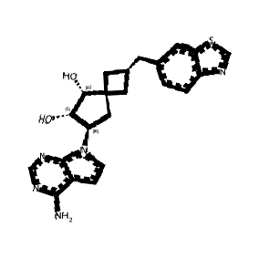 Nc1ncnc2c1ccn2[C@@H]1C[C@]2(C[C@@H](Cc3ccc4ncsc4c3)C2)[C@@H](O)[C@H]1O